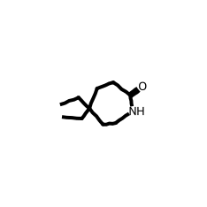 CCC1(CC)CCNC(=O)CC1